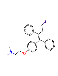 CN(C)CCOc1ccc(C(=C(CCI)c2ccccc2)c2ccccc2)cc1